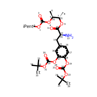 CCCC(C)OC(=O)O[C@@H](C)[C@H](C)OC(=O)[C@@H](N)Cc1ccc(OC(=O)OC(C)(C)CC)c(OC(=O)OC(C)(C)CC)c1